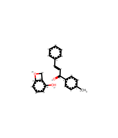 Cc1ccc(C(=O)C=Cc2ccccc2)cc1.Oc1cccc2c1CO2